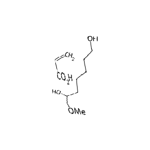 C=CC(=O)O.COC(O)CCCCCO